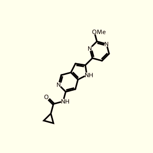 COc1nccc(-c2cc3cnc(NC(=O)C4CC4)cc3[nH]2)n1